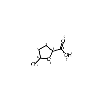 O=C(O)C1CCC(Cl)O1